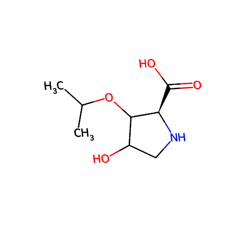 CC(C)OC1C(O)CN[C@@H]1C(=O)O